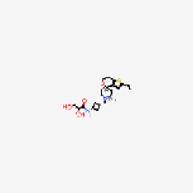 CCc1cc2c(s1)CCO[C@@]21CCN(C[C@H]2C[C@@H](NC(=O)C(O)CO)C2)[C@@H](C)C1